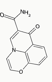 NC(=O)c1cn2c3c(cccc3c1=O)OC=C2